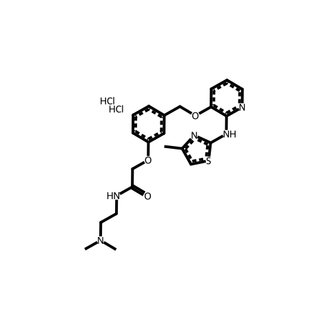 Cc1csc(Nc2ncccc2OCc2cccc(OCC(=O)NCCN(C)C)c2)n1.Cl.Cl